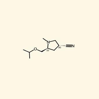 CC(C)OC[C@@H]1C[C@@H](C#N)CN1C